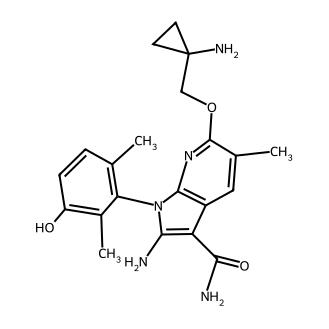 Cc1cc2c(C(N)=O)c(N)n(-c3c(C)ccc(O)c3C)c2nc1OCC1(N)CC1